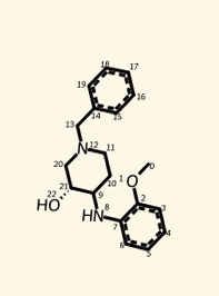 COc1ccccc1NC1CCN(Cc2ccccc2)C[C@H]1O